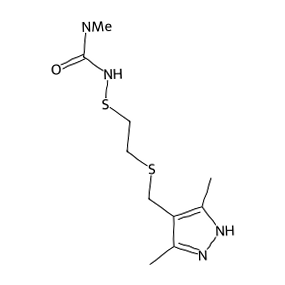 CNC(=O)NSCCSCc1c(C)n[nH]c1C